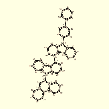 c1ccc(-c2ccc(-n3c4ccccc4c4c(-c5cccc6c5c5ccccc5n6-c5cc6ccccc6c6ccccc56)cccc43)cc2)cc1